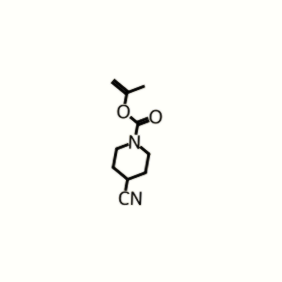 C=C(C)OC(=O)N1CCC(C#N)CC1